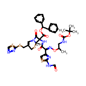 CC(CNC(=O)OC(C)(C)C)ON=C(C(=O)NC1(C(=O)OC(c2ccccc2)c2ccccc2)C(=O)N2C=C(CSc3nncs3)CS[C@H]21)c1csc(NC=O)n1